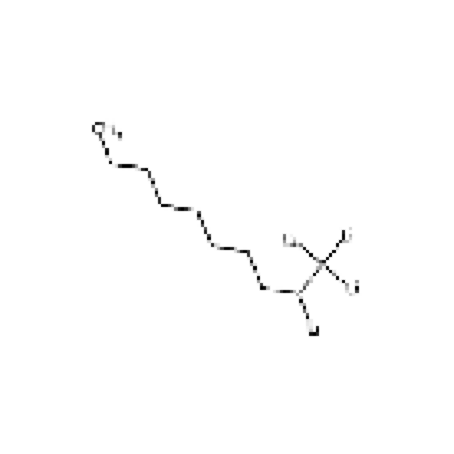 [Li][CH](CCCCCCCC)[C]([Li])([Li])[Li]